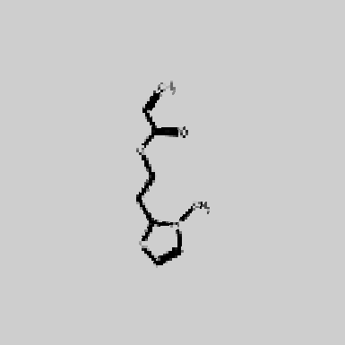 C=CC(=O)OCCC1SC=CN1C